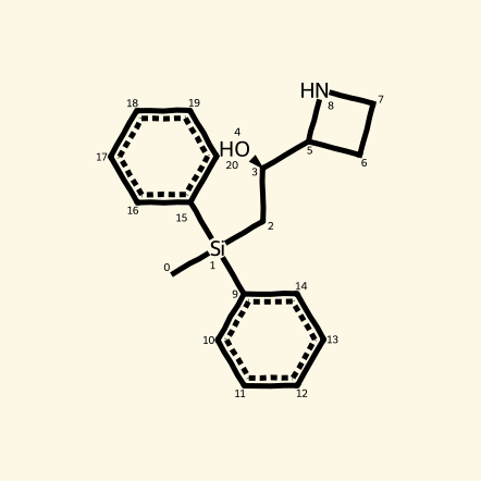 C[Si](C[C@@H](O)C1CCN1)(c1ccccc1)c1ccccc1